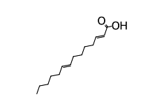 CCCCCC=CCCCCC=CC(=O)O